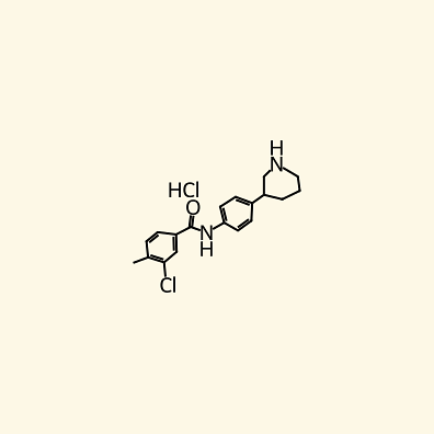 Cc1ccc(C(=O)Nc2ccc(C3CCCNC3)cc2)cc1Cl.Cl